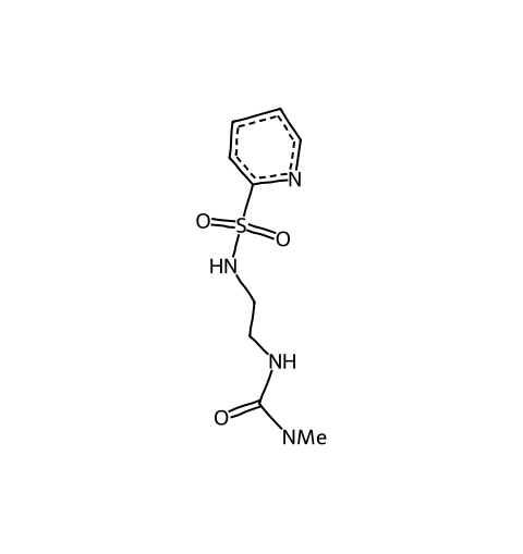 CNC(=O)NCCNS(=O)(=O)c1ccccn1